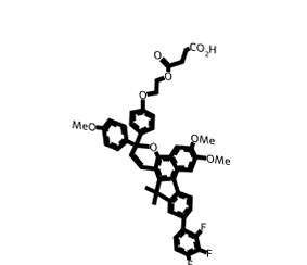 COc1ccc(C2(c3ccc(OCCOC(=O)CCC(=O)O)cc3)C=Cc3c4c(c5cc(OC)c(OC)cc5c3O2)-c2ccc(-c3ccc(F)c(F)c3F)cc2C4(C)C)cc1